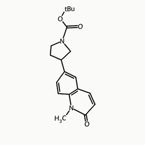 Cn1c(=O)ccc2cc(C3CCN(C(=O)OC(C)(C)C)C3)ccc21